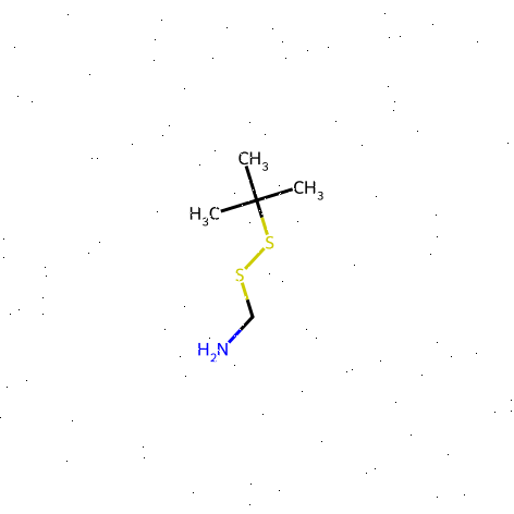 CC(C)(C)SSCN